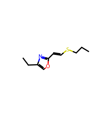 CCCSC=Cc1nc(CC)co1